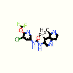 Cc1nccc2ncc(NC(=O)Nc3cnc(OC(F)F)c(Cl)c3)c(C(C)C)c12